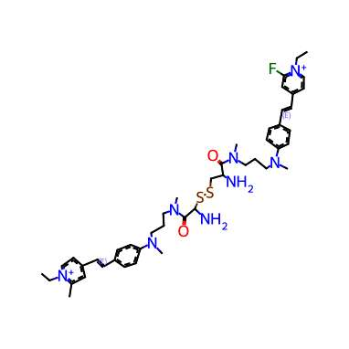 CC[n+]1ccc(/C=C/c2ccc(N(C)CCCN(C)C(=O)C(N)SSCC(N)C(=O)N(C)CCCN(C)c3ccc(/C=C/c4cc[n+](CC)c(F)c4)cc3)cc2)cc1C